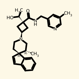 Cc1cncc(CNC(=O)[C@]2(C(C)O)C[C@H](N3CC[C@@]4(C=Cc5ccccc54)[C@@H](C)C3)C2)c1